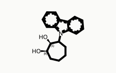 O[C@@H]1CCCCC(n2c3ccccc3c3ccccc32)[C@@H]1O